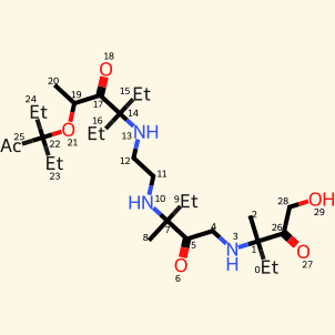 CCC(C)(NCC(=O)C(C)(CC)NCCNC(CC)(CC)C(=O)C(C)OC(CC)(CC)C(C)=O)C(=O)CO